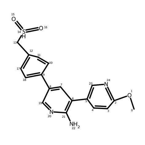 COc1ccc(-c2cc(-c3ccc(C[SH](=O)=O)cc3)cnc2N)cn1